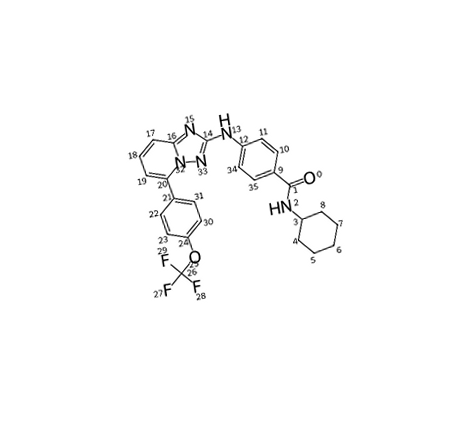 O=C(NC1CCCCC1)c1ccc(Nc2nc3cccc(-c4ccc(OC(F)(F)F)cc4)n3n2)cc1